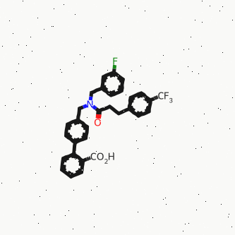 O=C(O)c1ccccc1-c1ccc(CN(Cc2cccc(F)c2)C(=O)CCc2ccc(C(F)(F)F)cc2)cc1